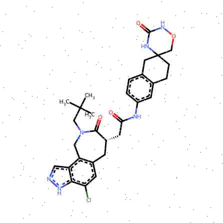 CC(C)(C)CN1Cc2c(cc(Cl)c3[nH]ncc23)C[C@@H](CC(=O)Nc2ccc3c(c2)CCC2(CONC(=O)N2)C3)C1=O